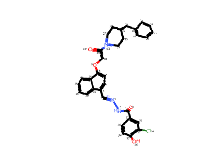 O=C(N/N=C/c1ccc(OCC(=O)N2CCC(Cc3ccccc3)CC2)c2ccccc12)c1ccc(O)c(Cl)c1